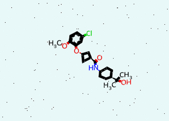 COc1ccc(Cl)cc1O[C@H]1C[C@H](C(=O)N[C@H]2CC[C@H](C(C)(C)O)CC2)C1